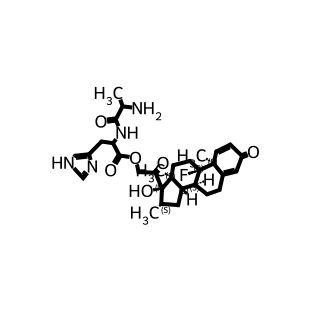 CC(N)C(=O)NC(Cc1c[nH]cn1)C(=O)OCC(=O)[C@@]1(O)[C@@H](C)C[C@H]2[C@@H]3CCC4=CC(=O)C=C[C@]4(C)[C@@]3(F)CC[C@@]21C